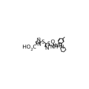 Cc1ccc(NC(=O)Nc2ncc(Sc3nc(C(=O)O)cn3C)s2)c(N2CCCCC2)c1